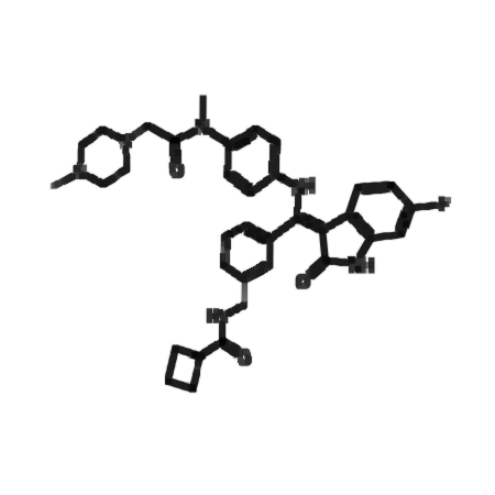 CN1CCN(CC(=O)N(C)c2ccc(NC(=C3C(=O)Nc4cc(F)ccc43)c3cccc(CNC(=O)C4CCC4)c3)cc2)CC1